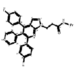 CCCNC(=O)CCn1ncc2c(-c3ccc(F)cc3)c(-c3ccncc3)c(-c3ccc(F)cc3)nc21